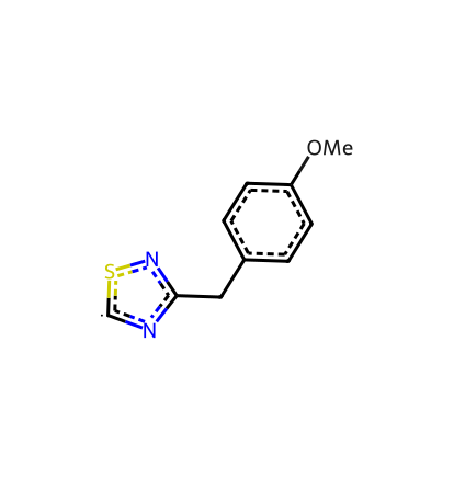 COc1ccc(Cc2n[c]sn2)cc1